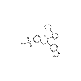 CNS(=O)(=O)c1cccc(NC(C(=O)c2oncc2C2CCCC2)c2ccc3cc[nH]c3c2)c1